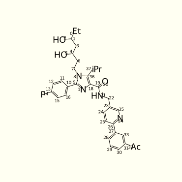 [CH2]CC(O)CC(O)CCn1c(-c2ccc(F)cc2)nc(C(=O)NCc2ccc(-c3cccc(C(C)=O)c3)nc2)c1C(C)C